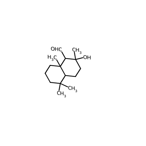 CC1(C)CCCC2(C)C1CCC(C)(O)C2C=O